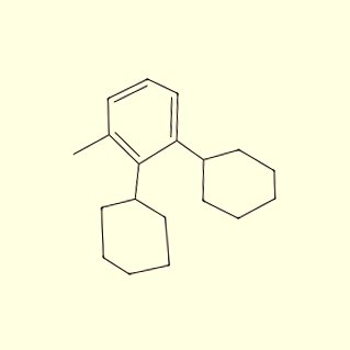 Cc1cccc(C2CCCCC2)c1C1CCCCC1